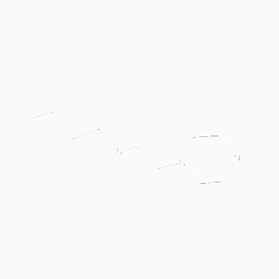 C/C(CC(C)C)=N\CCN1CCNCC1